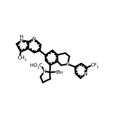 Cc1c[nH]c2ncc(-c3cc4c(c(C5(C(C)(C)C)CCCN5C(=O)O)c3)CN(c3ccnc(C(F)(F)F)c3)CC4)cc12